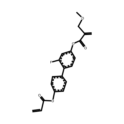 C=CC(=O)Oc1ccc(-c2ccc(OC(=O)C(=C)COC)cc2F)cc1